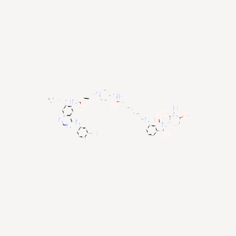 COc1cc2ncnc(Nc3ccc(F)c(Cl)c3)c2cc1NC(=O)/C=C/CN1CCC(NC(=O)CCCCCCNc2cccc3c2C(=O)N(C2CCC(=O)NC2=O)C3=O)CC1